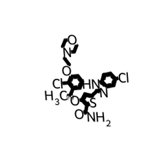 C[C@@H](Oc1cc(-c2nc3cc(Cl)ccc3[nH]2)sc1C(N)=O)c1cccc(OCCN2CCOCC2)c1Cl